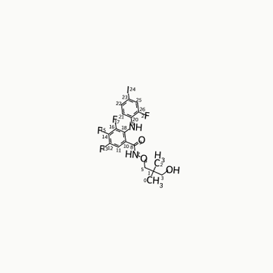 CC(C)(CO)CONC(=O)c1cc(F)c(F)c(F)c1Nc1ccc(I)cc1F